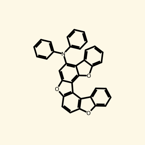 c1ccc(N(c2ccccc2)c2cc3oc4ccc5oc6ccccc6c5c4c3c3oc4ccccc4c23)cc1